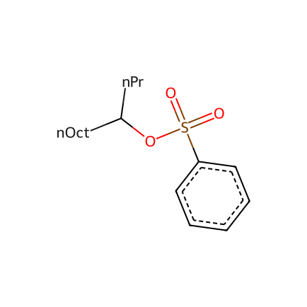 CCCCCCCCC(CCC)OS(=O)(=O)c1ccccc1